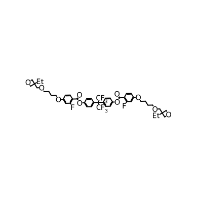 CCC1(COCCCCOc2ccc(C(=O)Oc3ccc(C(c4ccc(OC(=O)c5ccc(OCCCCOCC6(CC)COC6)cc5F)cc4)(C(F)(F)F)C(F)(F)F)cc3)c(F)c2)COC1